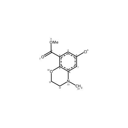 COC(=O)c1cc(Cl)cc2c1OCCN2C